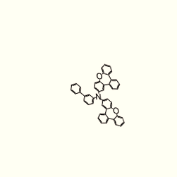 c1ccc(-c2cccc(N(c3ccc4c(c3)-c3ccccc3-c3ccccc3O4)c3ccc4c(c3)-c3ccccc3-c3ccccc3O4)c2)cc1